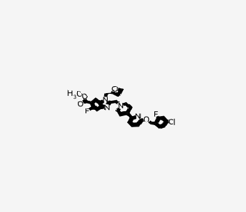 COC(=O)c1cc2c(cc1F)nc(CN1CC=C(c3cccc(OCc4ccc(Cl)cc4F)n3)CC1)n2C[C@@H]1CCO1